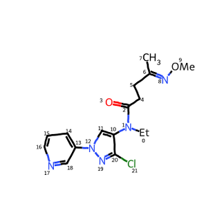 CCN(C(=O)CCC(C)=NOC)c1cn(-c2cccnc2)nc1Cl